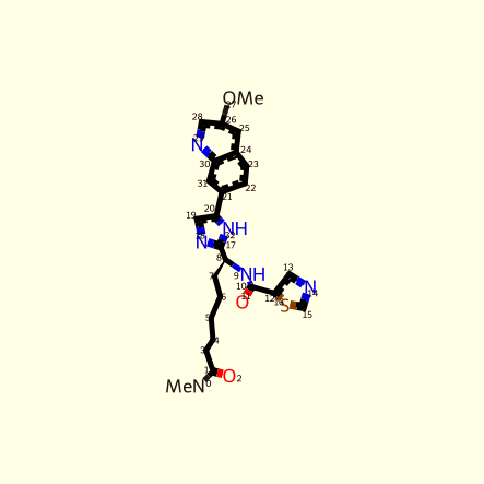 CNC(=O)CCCCC[C@H](NC(=O)c1cncs1)c1ncc(-c2ccc3cc(OC)cnc3c2)[nH]1